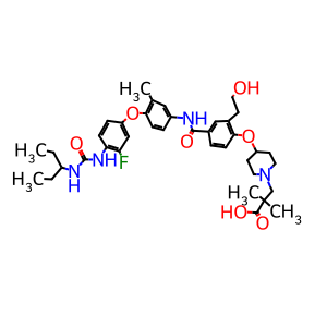 CCC(CC)NC(=O)Nc1ccc(Oc2ccc(NC(=O)c3ccc(OC4CCN(CC(C)(C)C(=O)O)CC4)c(CCO)c3)cc2C)cc1F